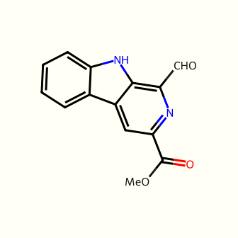 COC(=O)c1cc2c([nH]c3ccccc32)c(C=O)n1